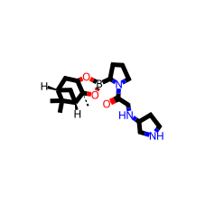 CC1(C)[C@@H]2CC3OB(C4CCCN4C(=O)CNC4CCNC4)O[C@@]3(C)[C@H]1C2